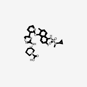 Cc1ccc2c(NS(=O)(=O)N(C)C3CC3)c(F)ccc2c1Oc1ncccc1-c1ccnc(N[C@H]2CCCN(C(=O)O)C2)n1